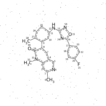 Cc1cc2c(cn1)cc(-c1cc(Nc3noc(-c4ccc(F)cc4)n3)ccc1C)c(=O)n2C